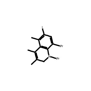 CC1=C(C)c2c(C)c(I)cc(C(C)C)c2N(C(C)C)C1